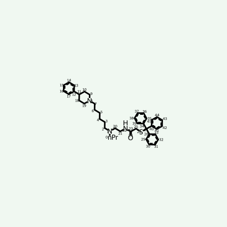 CCCN(CCCCCCN1CCC(c2ccccc2)CC1)CCNC(=O)CSC(c1ccccc1)(c1ccccc1)c1ccccc1